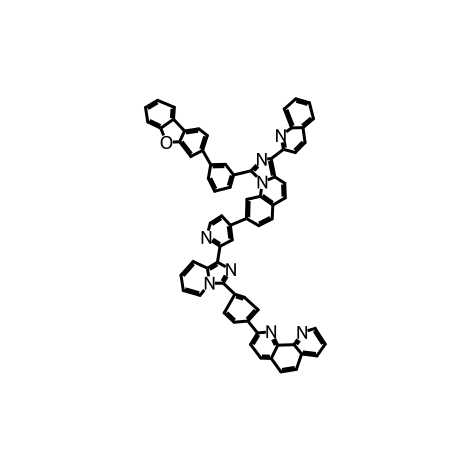 c1cc(-c2ccc3c(c2)oc2ccccc23)cc(-c2nc(-c3ccc4ccccc4n3)c3ccc4ccc(-c5ccnc(-c6nc(-c7ccc(-c8ccc9ccc%10cccnc%10c9n8)cc7)n7ccccc67)c5)cc4n23)c1